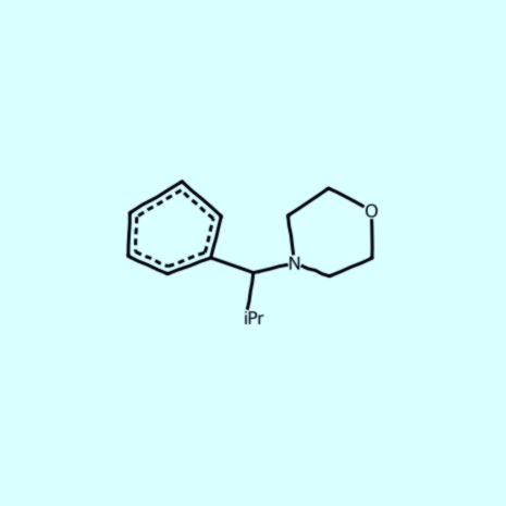 CC(C)[C](c1ccccc1)N1CCOCC1